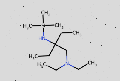 CCN(CC)CC(CC)(CC)N[Si](C)(C)C